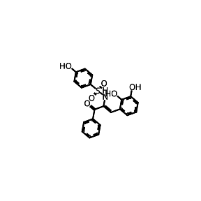 O=C(C(=Cc1cccc(O)c1O)NS(=O)(=O)c1ccc(O)cc1)c1ccccc1